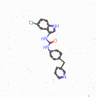 O=C(Nc1ccc(Cc2cccnc2)cc1)Nc1c[nH]c2ccc(Cl)cc12